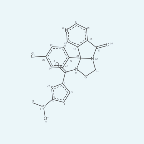 C[S+]([O-])c1ccc(C(=O)N2CCN3C(=O)c4ccncc4C23c2ccc(Cl)cc2)s1